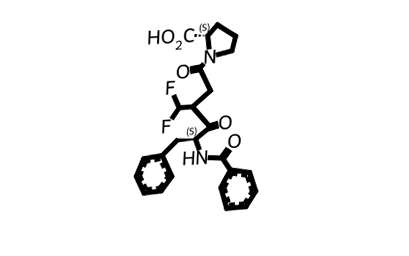 O=C(N[C@@H](Cc1ccccc1)C(=O)C(CC(=O)N1CCC[C@H]1C(=O)O)C(F)F)c1ccccc1